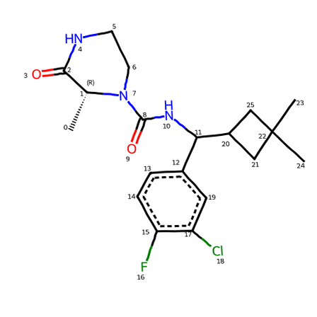 C[C@@H]1C(=O)NCCN1C(=O)NC(c1ccc(F)c(Cl)c1)C1CC(C)(C)C1